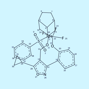 O=S(=O)(NC1C2CCC1CC(OCc1c(-c3ccccc3OC(F)(F)F)noc1C1CC1)C2)c1ccccc1